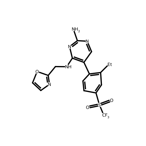 CCc1cc(S(=O)(=O)C(F)(F)F)ccc1-c1cnc(N)nc1NCc1ncco1